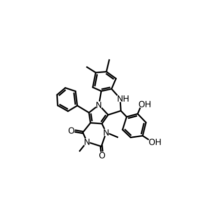 Cc1cc2c(cc1C)-n1c(-c3ccccc3)c3c(=O)n(C)c(=O)n(C)c3c1C(c1ccc(O)cc1O)N2